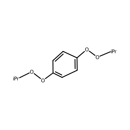 CC(C)OOc1ccc(OOC(C)C)cc1